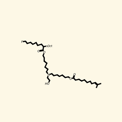 CCCCCCCCC(CCCCCCCF)C(=O)OCCCCCCCN(CCO)CCCCCCCOC(=O)CCCCCCCC=C(C)C